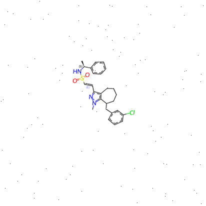 C[C@H](NS(=O)(=O)/C=C/c1nn(C)c2c1CCCCC2Cc1cccc(Cl)c1)c1ccccc1